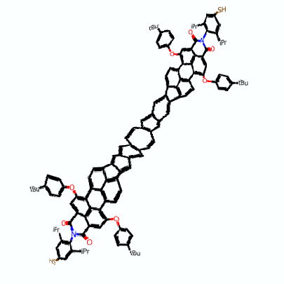 CC(C)c1cc(S)cc(C(C)C)c1N1C(=O)c2cc(Oc3ccc(C(C)(C)C)cc3)c3c4ccc5c6c(ccc(c7c(Oc8ccc(C(C)(C)C)cc8)cc(c2c37)C1=O)c64)-c1cc2cc3c(cc2cc1-5)/C=C\c1cc2cc4c(cc2cc1/C=C\3)-c1ccc2c3c(Oc5ccc(C(C)(C)C)cc5)cc5c6c(cc(Oc7ccc(C(C)(C)C)cc7)c(c7ccc-4c1c72)c63)C(=O)N(c1c(C(C)C)cc(S)cc1C(C)C)C5=O